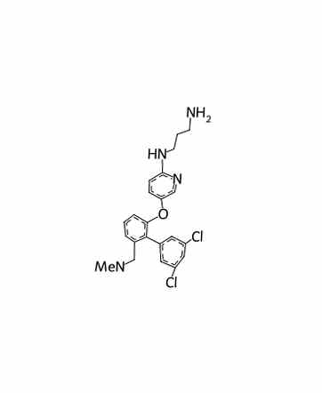 CNCc1cccc(Oc2ccc(NCCCN)nc2)c1-c1cc(Cl)cc(Cl)c1